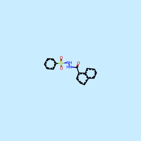 O=C(NNS(=O)(=O)c1ccccc1)c1cccc2ccccc12